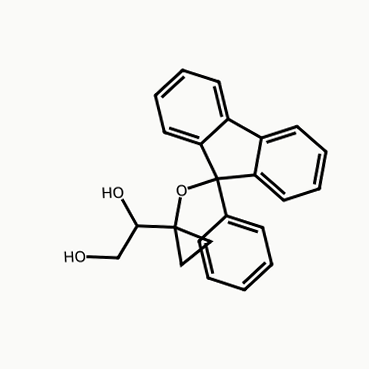 OCC(O)C1(OC2(c3ccccc3)c3ccccc3-c3ccccc32)CC1